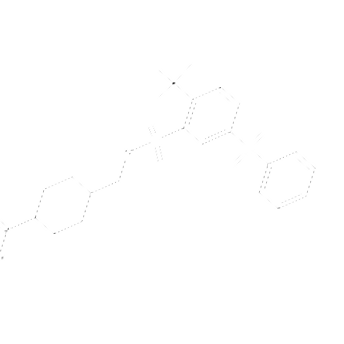 O=C(O)C1CCC(CNS(=O)(=O)c2cc(S(=O)(=O)c3ccccc3)ccc2C(F)(F)F)CC1